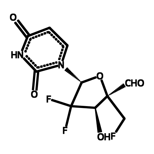 O=C[C@@]1(CF)O[C@@H](n2ccc(=O)[nH]c2=O)C(F)(F)[C@@H]1O